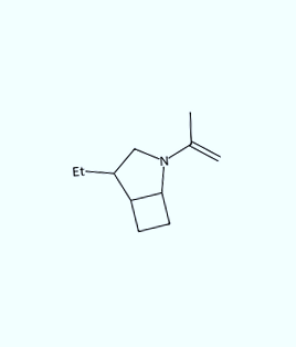 C=C(C)N1CC(CC)C2CCC21